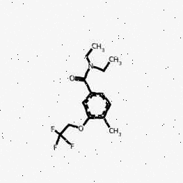 CCN(CC)C(=O)c1ccc(C)c(OCC(F)(F)F)c1